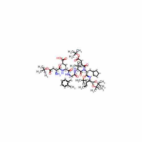 C=CCC(N=C(OC(C)(C)C)[C@H](CC1CCCC1)N(C(=O)CCC(=O)OC(C)(C)C)C(=O)[C@@H](NC(=O)[C@H](Cc1ccccc1C)NC(=O)[C@H](CCC(=O)O)NC(=O)[C@@H](N)CC(=O)OC(C)(C)C)C(C)(C)C)B1OC(C)(C)C(C)(C)O1